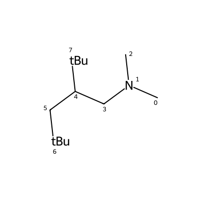 CN(C)CC(CC(C)(C)C)C(C)(C)C